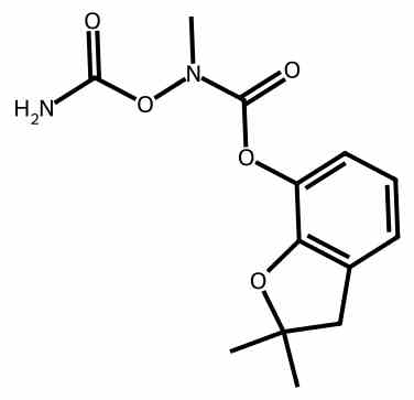 CN(OC(N)=O)C(=O)Oc1cccc2c1OC(C)(C)C2